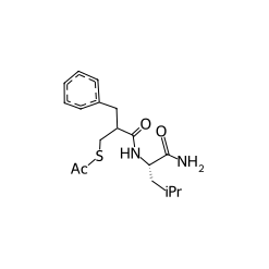 CC(=O)SCC(Cc1ccccc1)C(=O)N[C@@H](CC(C)C)C(N)=O